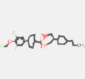 CCCC1CCC(C2COC(C3CCC(c4cc(F)c(OCF)c(F)c4)CC3)OC2)CC1